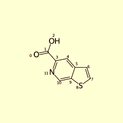 O=C(O)c1cc2ccsc2cn1